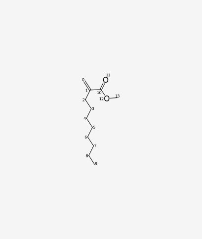 C=C(CCCCCCCC)C(=O)OC